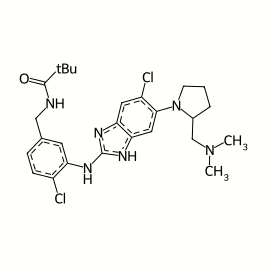 CN(C)CC1CCCN1c1cc2[nH]c(Nc3cc(CNC(=O)C(C)(C)C)ccc3Cl)nc2cc1Cl